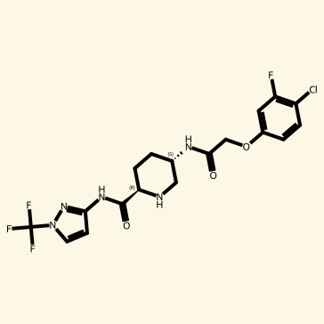 O=C(COc1ccc(Cl)c(F)c1)N[C@H]1CC[C@H](C(=O)Nc2ccn(C(F)(F)F)n2)NC1